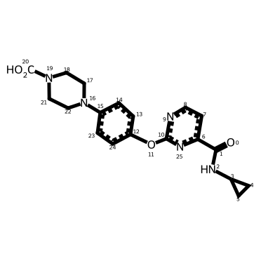 O=C(NC1CC1)c1ccnc(Oc2ccc(N3CCN(C(=O)O)CC3)cc2)n1